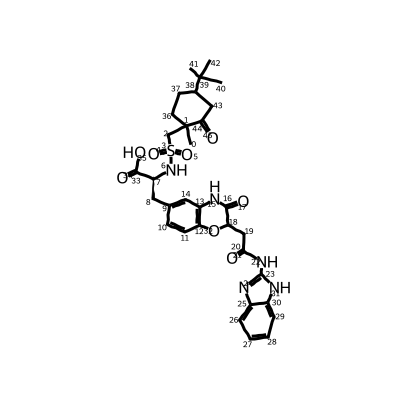 CC1(CS(=O)(=O)N[C@@H](Cc2ccc3c(c2)NC(=O)C(CC(=O)Nc2nc4ccccc4[nH]2)O3)C(=O)O)CCC(C(C)(C)C)CC1=O